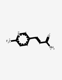 NC(=O)C=Cc1ccc(C(F)(F)F)nc1